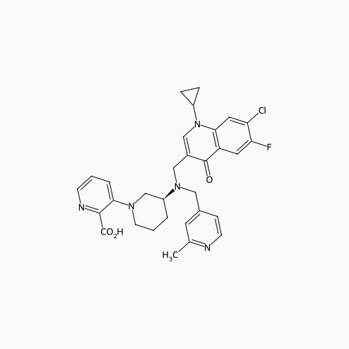 Cc1cc(CN(Cc2cn(C3CC3)c3cc(Cl)c(F)cc3c2=O)[C@H]2CCCN(c3cccnc3C(=O)O)C2)ccn1